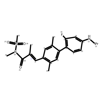 C/C(=C\c1cc(C)c(-c2ccc(NC(C)C)cc2F)cc1C)C(=O)N(C)S(C)(=O)=O